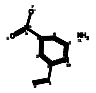 C=Cc1cc([N+](=O)[O-])ccn1.N